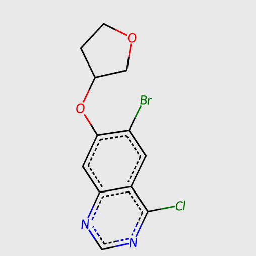 Clc1ncnc2cc(OC3CCOC3)c(Br)cc12